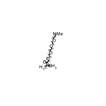 CNCCOCCOCCOCCOCC(=O)N(C)C